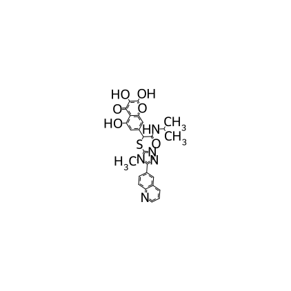 CC(C)NC(=O)C(Sc1nnc(-c2ccc3ncccc3c2)n1C)c1cc(O)c2c(=O)c(O)c(O)oc2c1